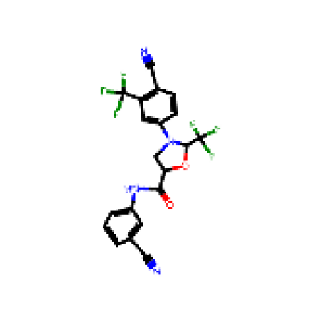 N#Cc1cccc(NC(=O)C2CN(c3ccc(C#N)c(C(F)(F)F)c3)C(C(F)(F)F)O2)c1